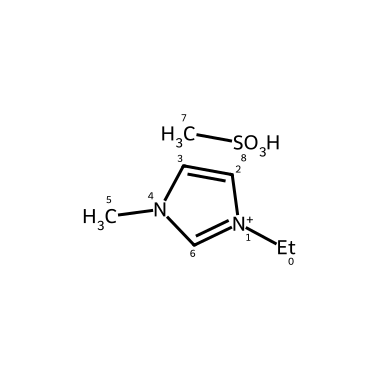 CC[n+]1ccn(C)c1.CS(=O)(=O)O